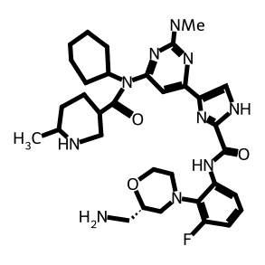 CNc1nc(-c2c[nH]c(C(=O)Nc3cccc(F)c3N3CCO[C@@H](CN)C3)n2)cc(N(C(=O)C2CCC(C)NC2)C2CCCCC2)n1